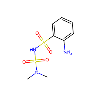 CN(C)S(=O)(=O)NS(=O)(=O)c1ccccc1N